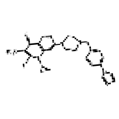 O=C(O)c1c(F)n(C2CC2)c2cc(N3CCN(Cc4ccc(-n5cccc5)cc4)CC3)ccc2c1=O